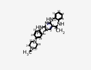 C=N/C=C1/C(=C)Nc2ccccc2N/C1=N/CNc1ccc(N2CCN(C)CC2)cc1